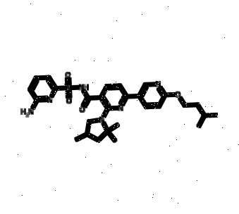 CC(C)CCOc1ccc(-c2ccc(C(=O)NS(=O)(=O)c3cccc(N)n3)c(N3CC(C)CC3(C)C)n2)cn1